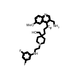 COc1ccc2ncc(CN)c([C@H](F)CCC3(CO)CCN(CCNc4cc(F)cc(F)c4)CC3)c2c1